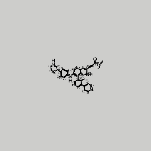 CN(C)C(=O)C#Cc1cc2cnc(Nc3ccc(C4CNCCS4)c(F)c3)nc2n(Cc2ccccc2-c2ccncc2)c1=O